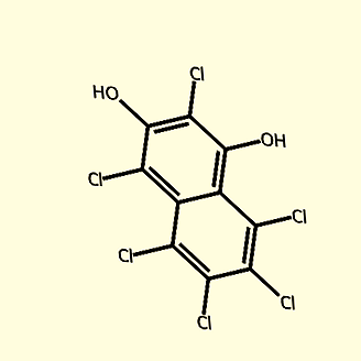 Oc1c(Cl)c(O)c2c(Cl)c(Cl)c(Cl)c(Cl)c2c1Cl